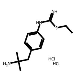 CCSC(=N)Nc1ccc(CC(C)(C)N)cc1.Cl.Cl